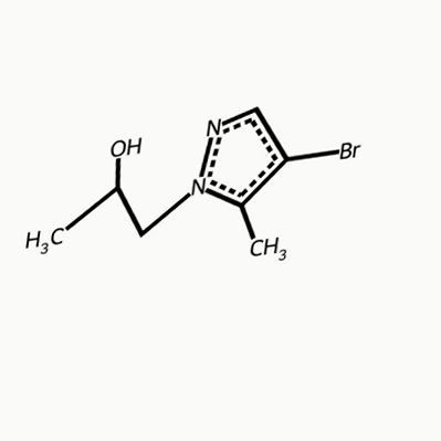 Cc1c(Br)cnn1CC(C)O